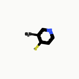 O=[N+]([O-])c1cnccc1[S]